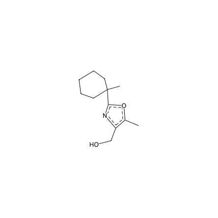 Cc1oc(C2(C)CCCCC2)nc1CO